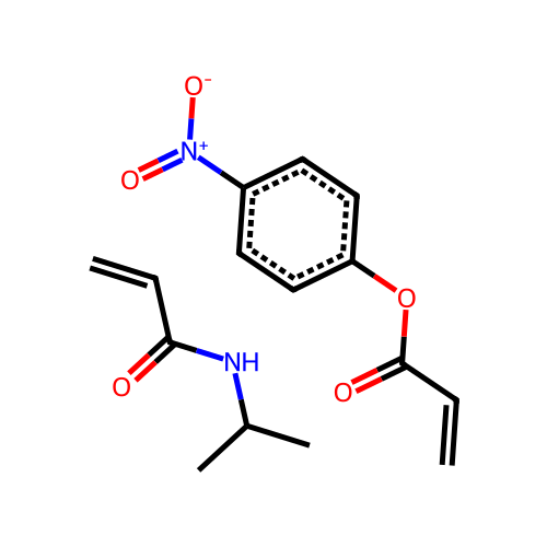 C=CC(=O)NC(C)C.C=CC(=O)Oc1ccc([N+](=O)[O-])cc1